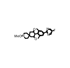 CON1CCC2(CC1)CC(=O)C(c1c(C)cc(-c3ncc(F)cn3)cc1C)C(=O)C2